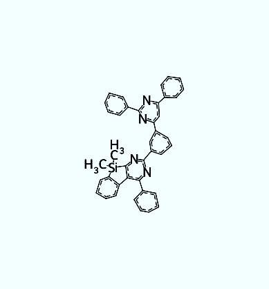 C[Si]1(C)c2ccccc2-c2c(-c3ccccc3)nc(-c3cccc(-c4cc(-c5ccccc5)nc(-c5ccccc5)n4)c3)nc21